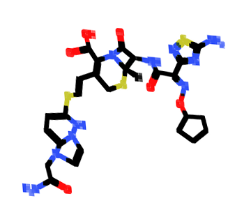 NC(=O)CN1C=CN2NC(S/C=C/C3=C(C(=O)O)N4C(=O)[C@@H](NC(=O)/C(=N\OC5CCCC5)c5nsc(N)n5)[C@@H]4SC3)=CC=C12